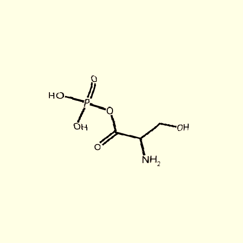 NC(CO)C(=O)OP(=O)(O)O